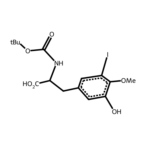 COc1c(O)cc(CC(NC(=O)OC(C)(C)C)C(=O)O)cc1I